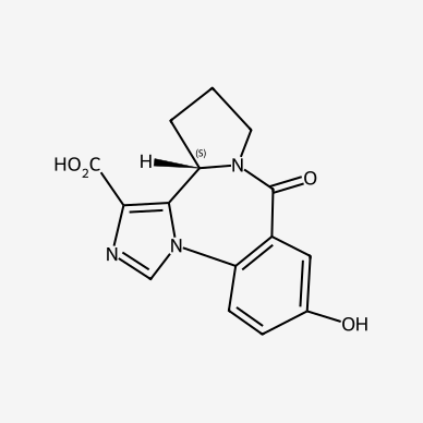 O=C(O)c1ncn2c1[C@@H]1CCCN1C(=O)c1cc(O)ccc1-2